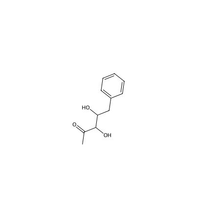 CC(=O)C(O)C(O)Cc1ccccc1